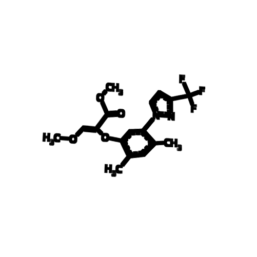 CO/C=C(\Oc1cc(-n2ccc(C(F)(F)F)n2)c(C)cc1C)C(=O)OC